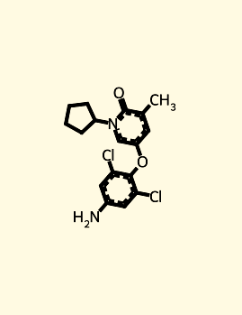 Cc1cc(Oc2c(Cl)cc(N)cc2Cl)cn(C2CCCC2)c1=O